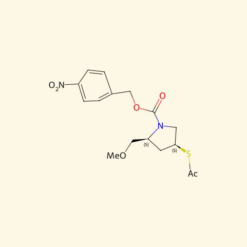 COC[C@@H]1C[C@H](SC(C)=O)CN1C(=O)OCc1ccc([N+](=O)[O-])cc1